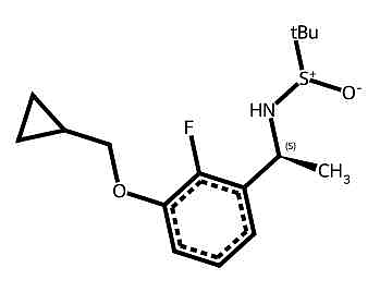 C[C@H](N[S+]([O-])C(C)(C)C)c1cccc(OCC2CC2)c1F